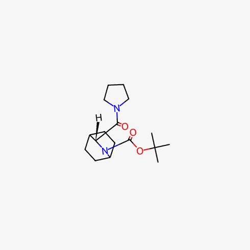 CC(C)(C)OC(=O)N1C2CCC(CC2)[C@@H]1C(=O)N1CCCC1